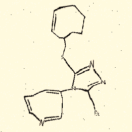 CCc1nnc(SC2C=CCCC2)n1-c1cccnc1